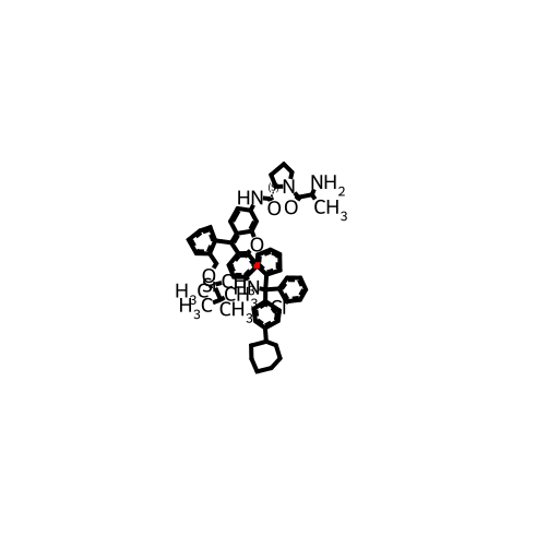 CC(N)C(=O)N1CCC[C@H]1C(=O)NC1C=CC2=C(c3ccccc3CO[Si](C)(C)C(C)(C)C)c3ccc(NC(c4ccccc4)(c4ccc(C5CCCCCC5)cc4)c4ccccc4Cl)cc3OC2=C1